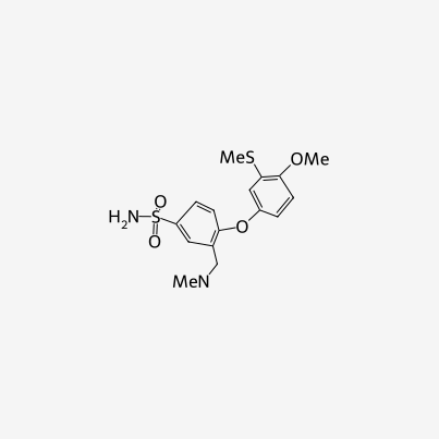 CNCc1cc(S(N)(=O)=O)ccc1Oc1ccc(OC)c(SC)c1